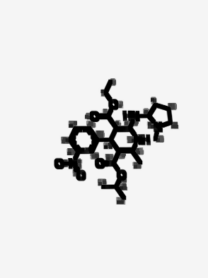 CCOC(=O)C1=C(NC2CCCN2C)NC(C)=C(C(=O)OC(C)C)C1c1cccc([N+](=O)[O-])c1